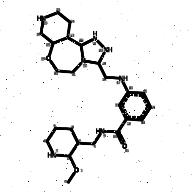 COC1NCCCC1CNC(=O)c1cccc(NCC2NNC3C4CCNCC4OCCN23)c1